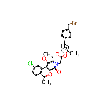 COc1cn(CC(=O)OC(C)(C)CCc2ccc(CBr)cc2)c(=O)cc1-c1cc(Cl)ccc1C(C)=O